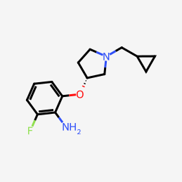 Nc1c(F)cccc1O[C@@H]1CCN(CC2CC2)C1